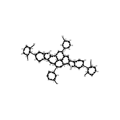 Cc1cccc(-c2cc3c4sc5cc(-c6c(C)cccc6C)ccc5c4cc4c(-c5cccc(C)c5)cc5c6sc7cc(-c8c(C)cccc8C)ccc7c6cc2c5c43)c1